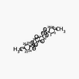 Cc1ccc(S(=O)(=O)OC2COC3C(OS(=O)(=O)c4ccc(C)cc4)COC23)cc1